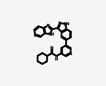 O=C(Nc1cncc(-c2ccc3[nH]nc(-c4nc5ccncc5[nH]4)c3c2)c1)C1CCCCC1